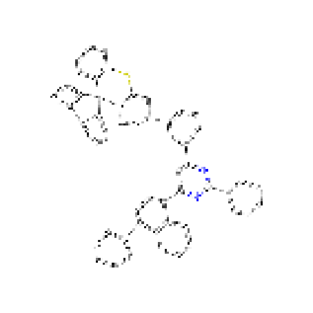 c1ccc(-c2nc(-c3cccc(-c4ccc5c(c4)Sc4ccccc4C54c5ccccc5-c5ccccc54)c3)cc(-c3ccc(-c4ccccc4)c4ccccc34)n2)cc1